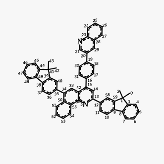 CC1(C)c2ccccc2-c2ccc(-c3cc(-c4ccc(-c5cnc6ccccc6c5)cc4)c4cc(-c5ccc6c(c5)C(C)(C)c5ccccc5-6)c5ccccc5c4n3)cc21